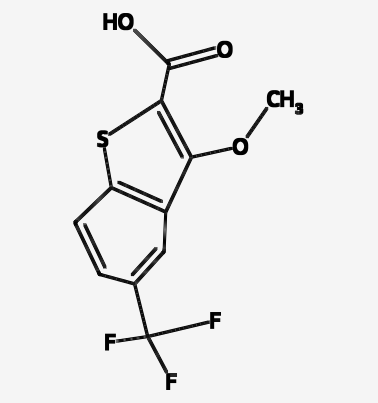 COc1c(C(=O)O)sc2ccc(C(F)(F)F)cc12